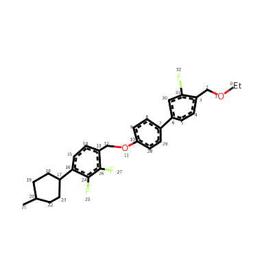 CCOCc1ccc(-c2ccc(OCc3ccc(C4CCC(C)CC4)c(F)c3F)cc2)cc1F